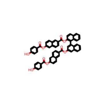 O=C(Oc1ccc2cc(C(=O)Oc3cc(-c4c(OC(=O)c5ccc6cc(OC(=O)c7ccc(O)cc7)ccc6c5)ccc5ccccc45)c4ccccc4c3)ccc2c1)c1ccc(O)cc1